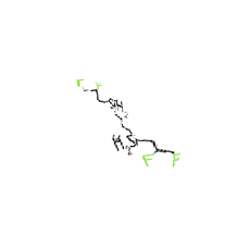 FCC(F)C[SiH2]CCCC[SiH2]CC(F)CF